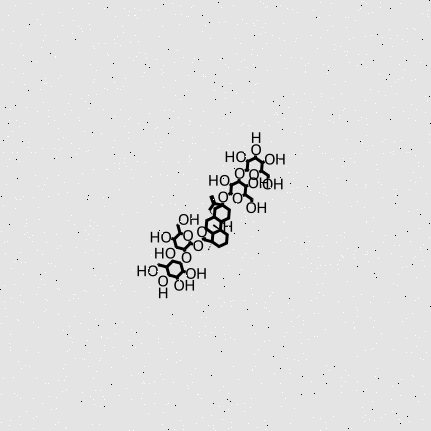 C=C1C[C@@]23CCC4[C@](C)(C(=O)OC5OC(CO)C(O)C(O)C5OC5CC(CO)C(O)C(O)C5O)CCC[C@@]4(C)[C@@H]2CCC1(OC1OC(CO)C(O)C(OC2OC(CO)C(O)C(O)C2O)C1O)C3